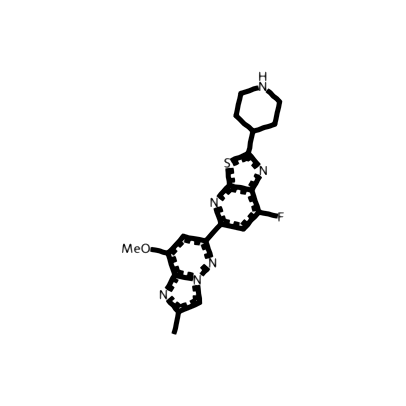 COc1cc(-c2cc(F)c3nc(C4CCNCC4)sc3n2)nn2cc(C)nc12